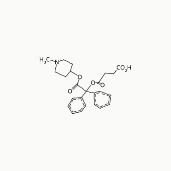 CN1CCC(OC(=O)C(OC(=O)CCC(=O)O)(c2ccccc2)c2ccccc2)CC1